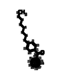 CCCCCCCCc1ccc(C(=O)[C]23[CH]4[CH]5[CH]6[CH]2[Fe]56432789[CH]3[CH]2[CH]7[CH]8[CH]39)cc1